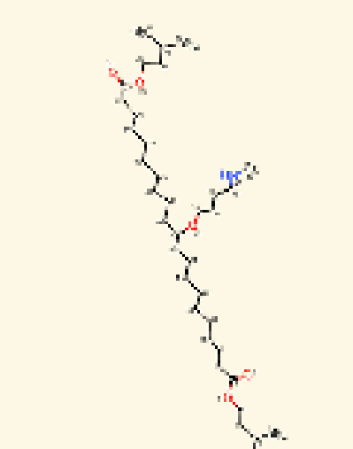 CCCCC(CCCC)CCOC(=O)CCCCCCCCCC(CCCCCCCCCC(=O)OCCC(CCCC)CCCC)OCCCCNCC